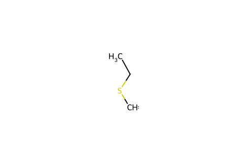 [CH]SCC